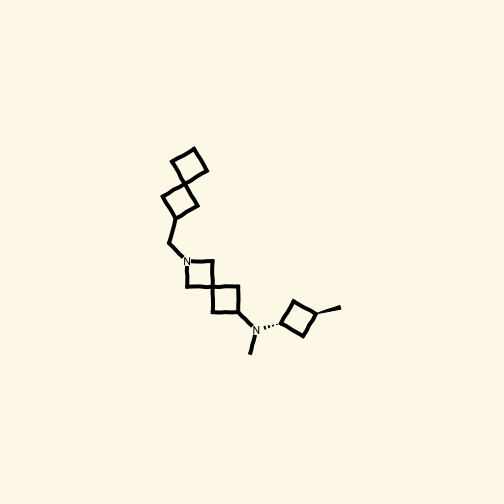 CN(C1CC2(C1)CN(CC1CC3(CCC3)C1)C2)[C@H]1C[C@H](C)C1